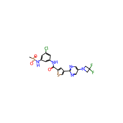 CS(=O)(=O)Nc1cc(Cl)cc(NC(=O)c2cc(-c3ncc(N4CC(F)(F)C4)cn3)cs2)c1